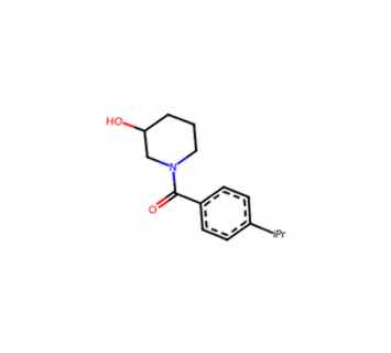 CC(C)c1ccc(C(=O)N2CCCC(O)C2)cc1